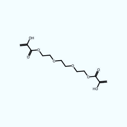 C=C(O)C(=O)OCCOCCOCCOC(=O)C(=C)O